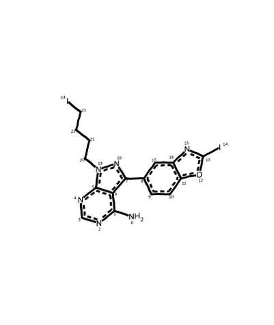 Nc1ncnc2c1c(-c1ccc3oc(I)nc3c1)nn2CCCCI